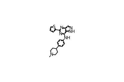 CN1CCC(c2ccc(Nc3nc(-c4cccs4)nc4cn[nH]c34)cc2)CC1